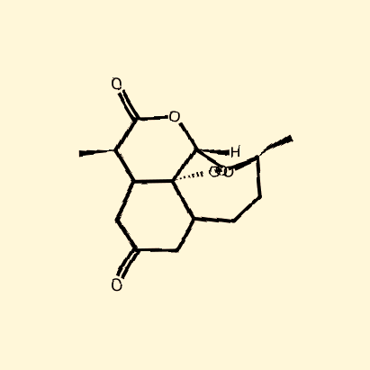 C[C@H]1C(=O)O[C@@H]2O[C@@]3(C)CCC4CC(=O)CC1[C@]42OO3